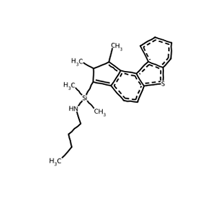 CCCCN[Si](C)(C)C1=c2ccc3sc4ccccc4c3c2=C(C)C1C